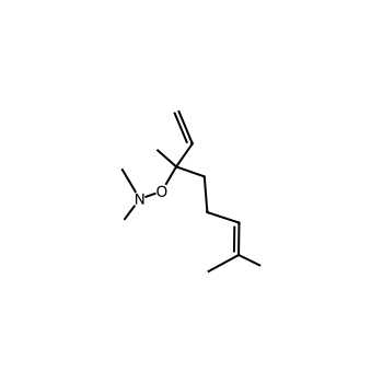 C=CC(C)(CCC=C(C)C)ON(C)C